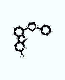 Cc1ccc2c(n1)oc1c(N3C=CN(c4ccccc4)C3)cccc12